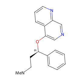 CNCC[C@@H](Oc1cncc2ncccc12)c1ccccc1